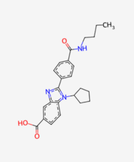 CCCCNC(=O)c1ccc(-c2nc3cc(C(=O)O)ccc3n2C2CCCC2)cc1